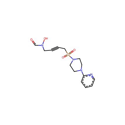 O=CN(O)CC#CCS(=O)(=O)N1CCN(c2ccccn2)CC1